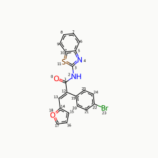 O=C(Nc1nc2ccccc2s1)C(=Cc1ccco1)c1ccc(Br)cc1